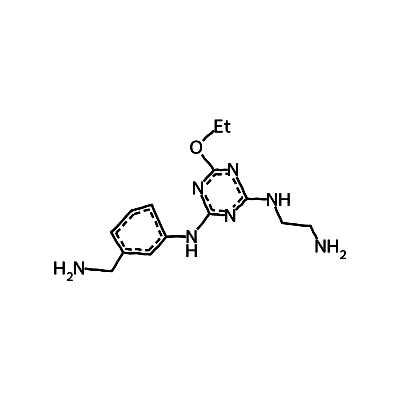 CCOc1nc(NCCN)nc(Nc2cccc(CN)c2)n1